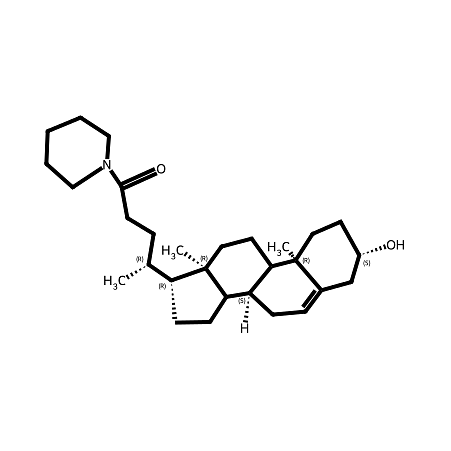 C[C@H](CCC(=O)N1CCCCC1)[C@H]1CCC2[C@@H]3CC=C4C[C@@H](O)CC[C@]4(C)C3CC[C@@]21C